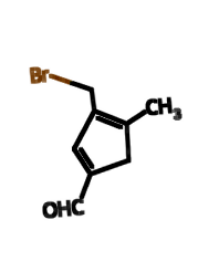 CC1=C(CBr)C=C(C=O)C1